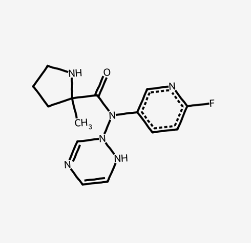 CC1(C(=O)N(c2ccc(F)nc2)N2C=NC=CN2)CCCN1